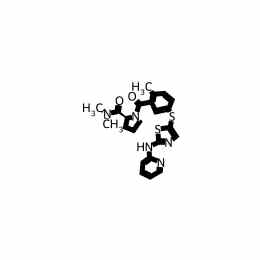 Cc1ccc(Sc2cnc(Nc3ccccn3)s2)cc1C(=O)N1CCC[C@H]1C(=O)N(C)C